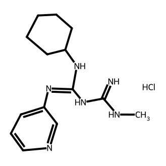 CNC(=N)NC(=Nc1cccnc1)NC1CCCCC1.Cl